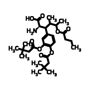 CCCC(=O)OC(C)C(C)C(c1ccc(OC(=O)CC(C)(C)C)c(OC(=O)CC(C)(C)C)c1)[C@H](N)C(=O)O